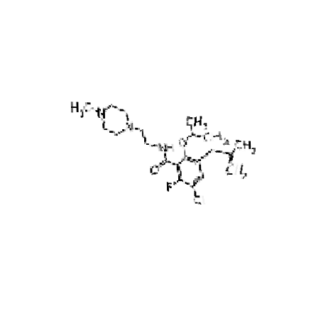 C=C(C)Cc1cc(Cl)c(F)c(C(=O)NCCN2CCN(C)CC2)c1OC(C)C